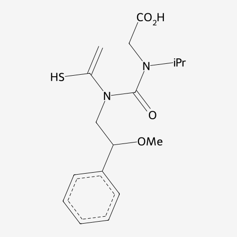 C=C(S)N(CC(OC)c1ccccc1)C(=O)N(CC(=O)O)C(C)C